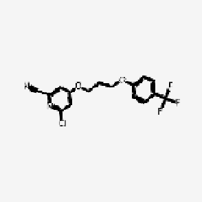 N#Cc1cc(OCCCOc2ccc(C(F)(F)F)cc2)cc(Cl)n1